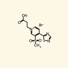 CS(=O)(=O)c1c[n+](CCC(=O)O)ccc1-c1ncns1.[Br-]